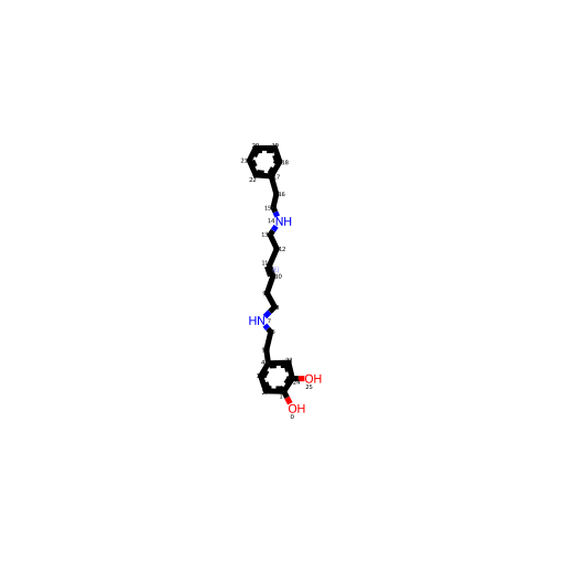 Oc1ccc(CCNCC/C=C/CCNCCc2ccccc2)cc1O